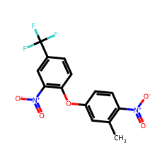 Cc1cc(Oc2ccc(C(F)(F)F)cc2[N+](=O)[O-])ccc1[N+](=O)[O-]